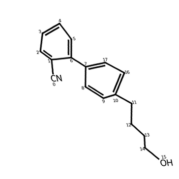 N#Cc1ccccc1-c1ccc(CCCCO)cc1